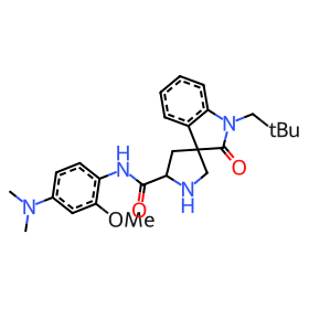 COc1cc(N(C)C)ccc1NC(=O)C1CC2(CN1)C(=O)N(CC(C)(C)C)c1ccccc12